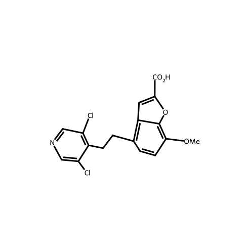 COc1ccc(CCc2c(Cl)cncc2Cl)c2cc(C(=O)O)oc12